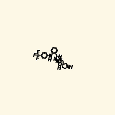 OC1(Cn2nnc(-c3ccccc3Nc3ccc(C(F)(F)F)cc3)n2)CCNC1